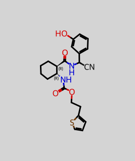 N#CC(NC(=O)[C@@H]1CCCC[C@H]1NC(=O)OCCc1cccs1)c1cccc(O)c1